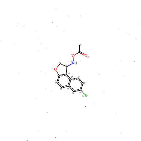 CC(=O)ONC1COc2ccc3cc(Br)ccc3c21